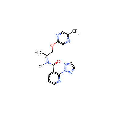 CCN(C(=O)c1cccnc1-n1nccn1)[C@@H](C)COc1cnc(C(F)(F)F)cn1